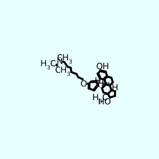 CC(C)N(C)CCCCCCCOc1ccc([C@H]2C[C@@]3(C)[C@@H](CC[C@@H]3O)[C@]3(C)CCc4cc(O)ccc4[C@@H]23)cc1